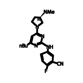 CCCCc1cc(N2CC[C@H](NC)C2)nc(Nc2ccc(F)c(C#N)c2)n1